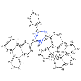 c1ccc(-c2nc(-c3ccc4c5ccccc5c5ccccc5c4c3)nc(-c3cccc4c3-c3ccccc3C43c4cccc5ccc6cccc3c6c45)n2)cc1